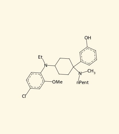 CCCCCN(C)C1(c2cccc(O)c2)CCC(N(CC)c2ccc(Cl)cc2OC)CC1